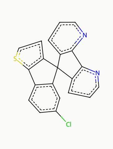 Clc1ccc2c(c1)C1(c3cccnc3-c3ncccc31)c1ccsc1-2